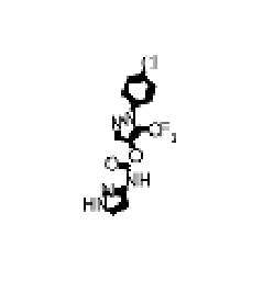 O=C(Nc1cc[nH]n1)Oc1cnn(-c2ccc(Cl)cc2)c1C(F)(F)F